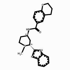 CN1CC[C@@H](NC(=O)c2ccc3c(c2)CCCO3)C[C@@H]1c1nc2ccccc2[nH]1